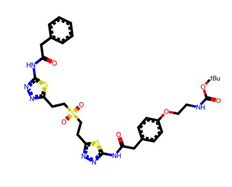 CC(C)(C)OC(=O)NCCOc1ccc(CC(=O)Nc2nnc(CCS(=O)(=O)CCc3nnc(NC(=O)Cc4ccccc4)s3)s2)cc1